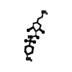 CCCC1CC(=O)C(C(=O)NS(=O)(=O)c2ccc(C)cc2)C(=O)C1